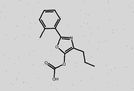 CCCc1nc(-c2ccccc2C)oc1OC(=O)O